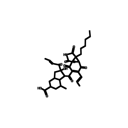 C/C=C/C(=O)C1(O)CC2CC(C(=O)O)CC(C)C2C1C(=O)C1=C(/C=C/C)C(=O)C2(Cl)C3(CCCCCC)C(=O)NC(=O)C23C1=O